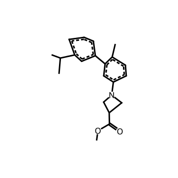 COC(=O)C1CN(c2ccc(C)c(-c3cccc(C(C)C)c3)c2)C1